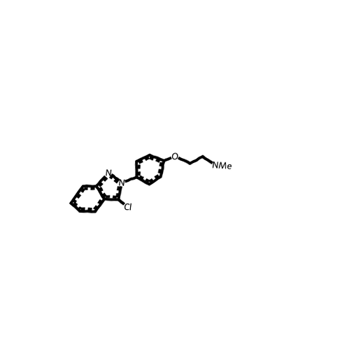 CNCCOc1ccc(-n2nc3ccccc3c2Cl)cc1